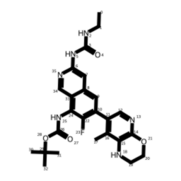 CCNC(=O)Nc1cc2cc(-c3cnc4c(c3C)NCCO4)c(F)c(NC(=O)OC(C)(C)C)c2cn1